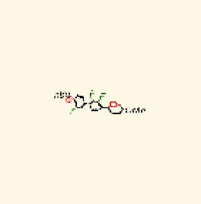 CCCCOc1ccc(-c2ccc(C3CCC(OC)CO3)c(F)c2F)cc1F